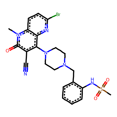 Cn1c(=O)c(C#N)c(N2CCN(Cc3ccccc3NS(C)(=O)=O)CC2)c2nc(Br)ccc21